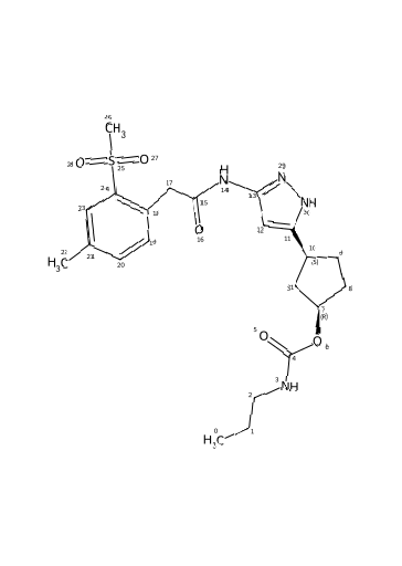 CCCNC(=O)O[C@@H]1CC[C@H](c2cc(NC(=O)Cc3ccc(C)cc3S(C)(=O)=O)n[nH]2)C1